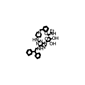 CCNC(=O)[C@H]1O[C@@H](n2cnc3c(NCC(c4ccccc4)c4ccccc4)nc(NC4CCN(Cc5ccccc5)CC4)nc32)[C@H](O)[C@@H]1O